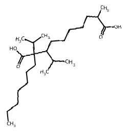 CCCCCCCC(C(=O)O)(C(C)C)C(CCCCCC(C)C(=O)O)C(C)C